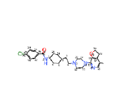 O=C(N[C@H]1CC[C@H](CCN2CCN(c3nccc4c3OCC4)CC2)CC1)c1ccc(Cl)cc1